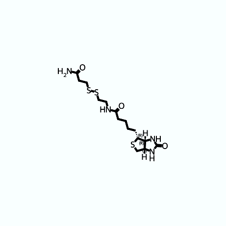 NC(=O)CCSSCCNC(=O)CCCC[C@H]1SC[C@H]2NC(=O)N[C@H]21